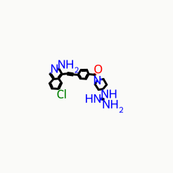 N=C(N)NC1CCN(C(=O)c2ccc(C#Cc3c(N)ncc4ccc(Cl)cc34)cc2)CC1